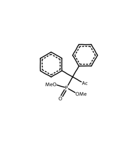 COP(=O)(OC)C(C(C)=O)(c1ccccc1)c1ccccc1